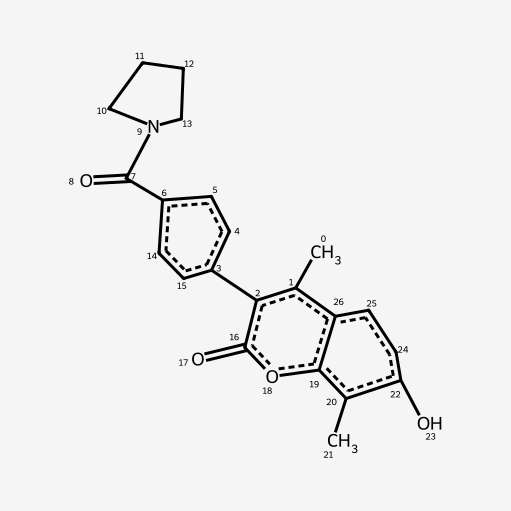 Cc1c(-c2ccc(C(=O)N3CCCC3)cc2)c(=O)oc2c(C)c(O)ccc12